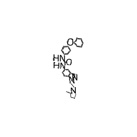 CC1CCCN1CCn1ncc2cc(NC(=O)Nc3ccc(Oc4ccccc4)cc3)ccc21